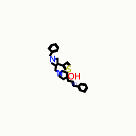 OC1(C/C=C/c2ccccc2)CCN(CC2CN(Cc3ccccc3)CC2c2ccsc2)CC1